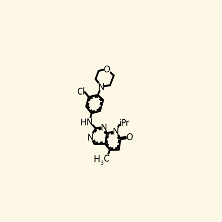 Cc1cc(=O)n(C(C)C)c2nc(Nc3ccc(N4CCOCC4)c(Cl)c3)ncc12